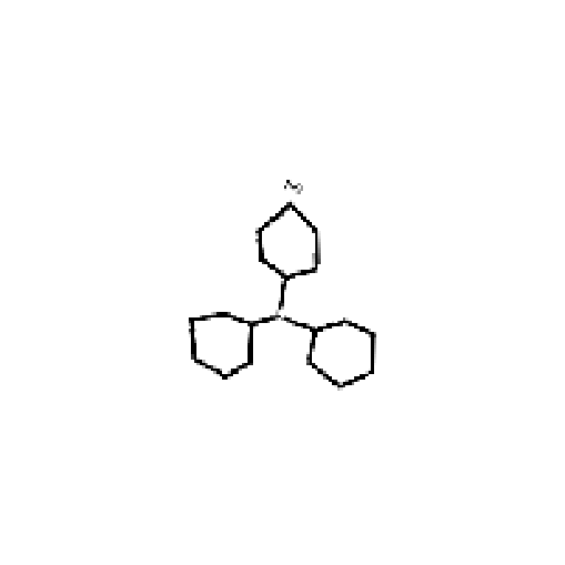 C1CCC(P(C2CCCCC2)C2CCCCC2)CC1.[Ag]